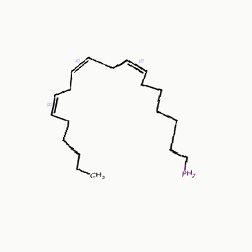 CCCCC/C=C\C/C=C\C/C=C\CCCCCCP